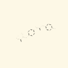 NC(Cc1ccc(NC(=O)Cc2ccc(F)cc2)cc1)C(=O)NO